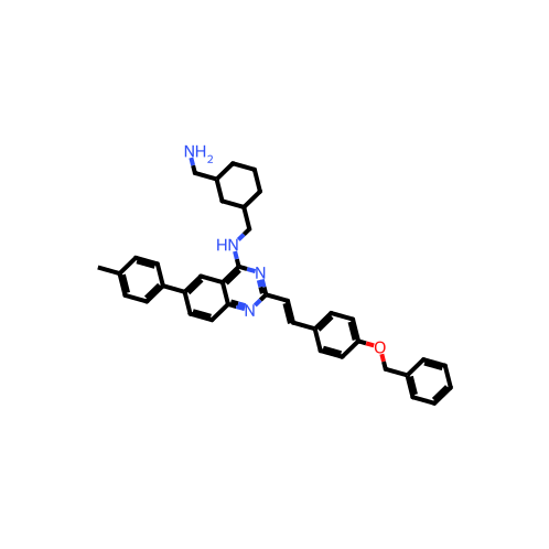 Cc1ccc(-c2ccc3nc(C=Cc4ccc(OCc5ccccc5)cc4)nc(NCC4CCCC(CN)C4)c3c2)cc1